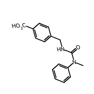 CN(C(=O)NCc1ccc(C(=O)O)cc1)c1ccccc1